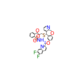 NS(=O)(=O)c1ccccc1C(=O)CCSC1c2cc(OCc3ccc4cc(F)c(F)cc4n3)ccc2OCc2ncccc21